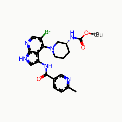 Cc1ccc(C(=O)Nc2c[nH]c3ncc(Br)c(N4CCC[C@@H](NC(=O)OC(C)(C)C)C4)c23)cn1